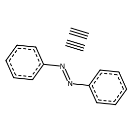 C#C.C#C.c1ccc(N=Nc2ccccc2)cc1